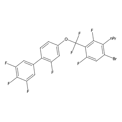 CCCc1c(Br)cc(F)c(C(F)(F)Oc2ccc(-c3cc(F)c(F)c(F)c3)c(F)c2)c1F